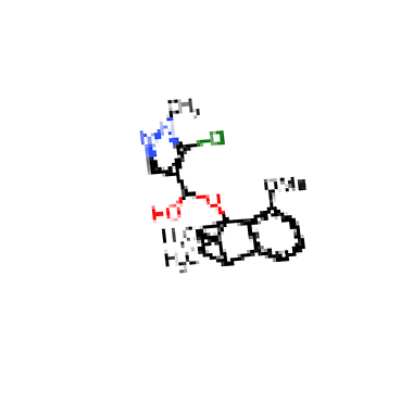 COc1cccc2c1C1(OC(O)c3cnn(C)c3Cl)CCC2C1(C)C